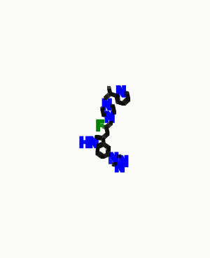 CC(CN1CCN(CC(F)Cc2c[nH]c3ccc(-n4cnnc4)cc23)CC1)c1ccccn1